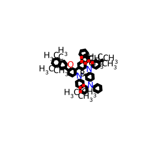 CC(C)(C)c1ccc(N2B3c4cc(N(c5ccccc5)c5ccccc5)ccc4N(c4ccc(C(C)(C)C)cc4-c4ccccc4)c4c3c(cc3c4C(C)(C)c4ccccc4-3)-c3c2ccc2c3oc3cc4c(cc32)C(C)(C)CCC4(C)C)cc1